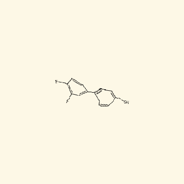 Oc1ccc(-c2ccc(F)c(F)c2)cc1